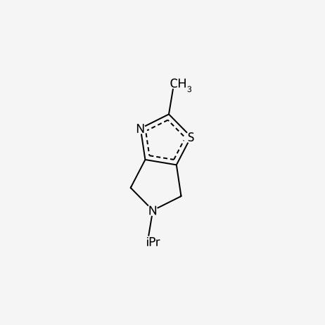 Cc1nc2c(s1)CN(C(C)C)C2